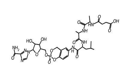 CC(C)CC(NC(=O)C(C)NC(=O)C(C)NC(=O)CCC(=O)O)C(=O)Nc1ccc2c(c1)COP(=O)(OCC1OC(n3cnc(C(N)=O)n3)C(O)C1O)O2